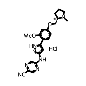 COc1cc(OC[C@H]2CCCN2C)ccc1-c1cc(Nc2cnc(C#N)cn2)n[nH]1.Cl